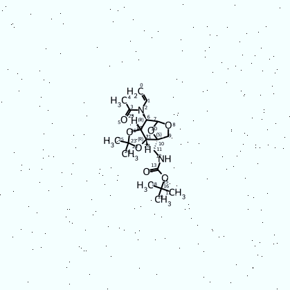 C=CN(C(C)=O)[C@H]1C2OC[C@](CNC(=O)OC(C)(C)C)(O2)[C@@H]2OC(C)(C)O[C@@H]21